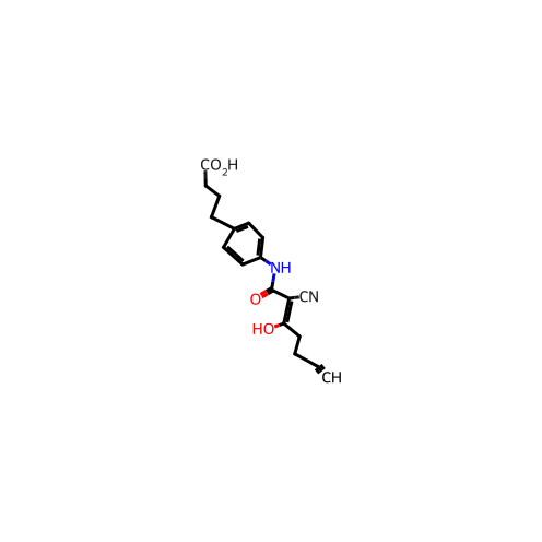 C#CCC/C(O)=C(\C#N)C(=O)Nc1ccc(CCCC(=O)O)cc1